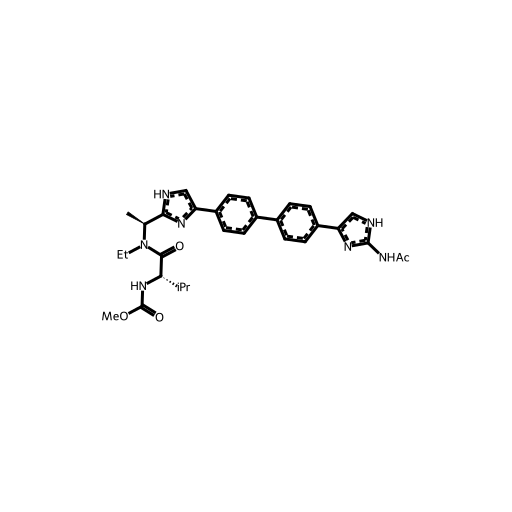 CCN(C(=O)[C@@H](NC(=O)OC)C(C)C)[C@@H](C)c1nc(-c2ccc(-c3ccc(-c4c[nH]c(NC(C)=O)n4)cc3)cc2)c[nH]1